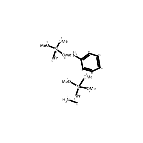 CCC[Si](OC)(OC)OC.CCC[Si](OC)(OC)OC.CN.Nc1ccccc1